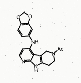 CC(=O)N1CCc2[nH]c3nccc(Nc4ccc5c(c4)OCO5)c3c2C1